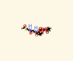 CC(=O)SCCNC(=O)CCNC(=O)[C@@H]1O[P@](=O)(OCOC(=O)C(C)(C)C)OCC1(C)C